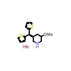 Br.COC1CNCC(=C(c2cccs2)c2cccs2)C1